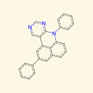 c1ccc(-c2cc3c4c(cccc4c2)N(c2ccccc2)c2ncncc2-3)cc1